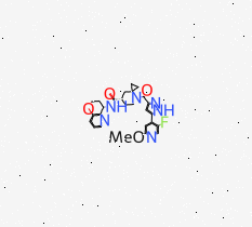 COc1cc(-c2cc(C(=O)N3CC[C@H](C(=O)N[C@H]4CCOc5cccnc54)CC34CC4)n[nH]2)c(F)cn1